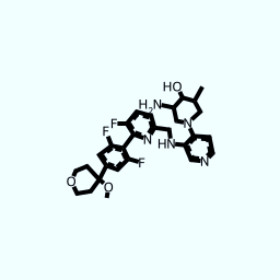 COC1(c2cc(F)c(-c3nc(CNc4cnccc4N4CC(C)C(O)C(N)C4)ccc3F)c(F)c2)CCOCC1